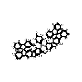 Cc1cc2c3c(c1)N(c1ccc4c(c1)C1(c5ccccc5-c5ccccc51)c1ccccc1-4)c1cc(C)cc4c1P3c1c(cc(C)cc1N4c1ccc3c(c1)C1(c4ccccc4-c4ccccc41)c1ccccc1-3)O2